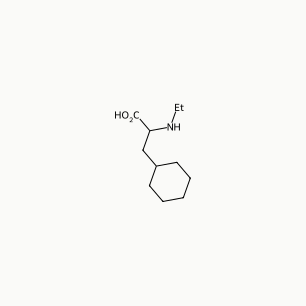 CCNC(CC1CCCCC1)C(=O)O